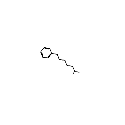 CCCC([O])CCCCCc1ccccc1